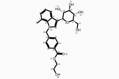 Cc1cccc2c([C@@H]3O[C@H](CO)[C@@H](O)[C@H](O)[C@H]3O)cn(Cc3ccc(C(=O)OCCO)cc3)c12